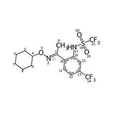 C/C(=N\OC1CCCCC1)c1ccc(C(F)(F)F)cc1NS(=O)(=O)C(F)(F)F